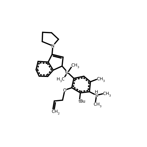 C=CCOc1c([Si](C)(C)C2C=C(N3CCCC3)c3ccccc32)cc(C)c([SiH](C)C)c1C(C)(C)C